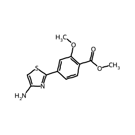 COC(=O)c1ccc(-c2nc(N)cs2)cc1OC